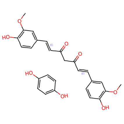 COc1cc(/C=C/C(=O)CC(=O)/C=C/c2ccc(O)c(OC)c2)ccc1O.Oc1ccc(O)cc1